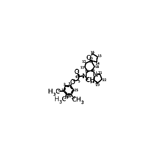 Cc1cc(OCC(=O)N(C)C2CCC3(CCCO3)CC2N2CCCC2)cc(C)c1C